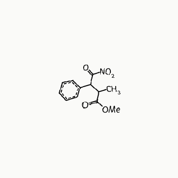 COC(=O)C(C)C(C(=O)[N+](=O)[O-])c1ccccc1